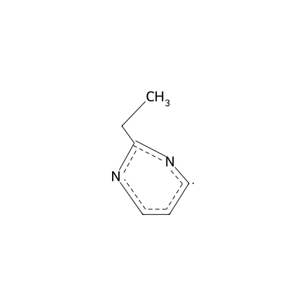 CCc1n[c]ccn1